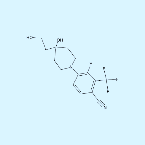 N#Cc1ccc(N2CCC(O)(CCO)CC2)[c]([Y])c1C(F)(F)F